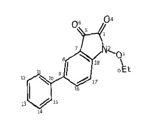 CCON1C(=O)C(=O)c2cc(-c3ccccc3)ccc21